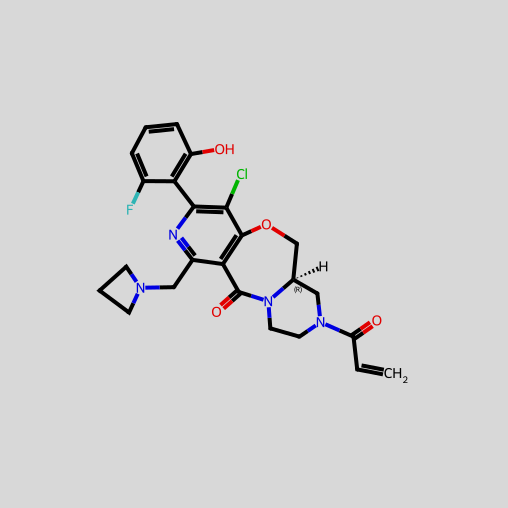 C=CC(=O)N1CCN2C(=O)c3c(CN4CCC4)nc(-c4c(O)cccc4F)c(Cl)c3OC[C@H]2C1